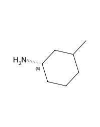 CC1CCC[C@H](N)C1